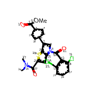 COC(=O)c1ccc(-c2cn(C(=O)c3c(Cl)cccc3Cl)c3cc(C(=O)N(C)C)sc23)cc1